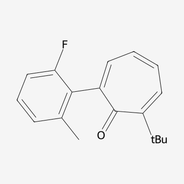 Cc1cccc(F)c1-c1ccccc(C(C)(C)C)c1=O